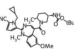 COc1ccc2c(c1)C(C(=O)N1C[C@H](NC(=O)OC(C)(C)C)CC[C@@H]1C)=CN=C(c1ccc(C#N)n1CC1CC1)N2C